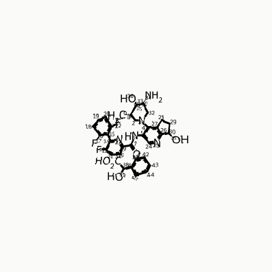 C[C@H]1CN(c2c(NC(=O)c3ccc(F)c(-c4c(F)cccc4F)n3)cnc3c2CCC3O)C[C@@H](N)[C@@H]1O.O=C(O)C(O)c1ccccc1